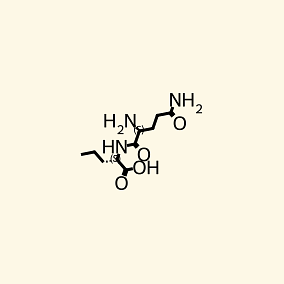 CCC[C@H](NC(=O)[C@@H](N)CCC(N)=O)C(=O)O